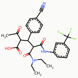 CCN(CC)C(=O)C(C(=O)Nc1cccc(C(F)(F)F)c1)C(c1ccc(C#N)cc1)C(C(C)=O)C(=O)O